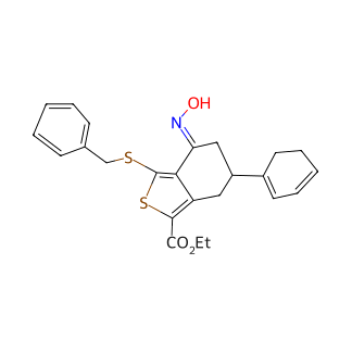 CCOC(=O)c1sc(SCc2ccccc2)c2c1CC(C1=CC=CCC1)C/C2=N\O